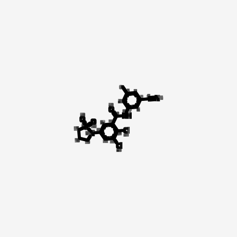 Cc1cc(C#N)cc(NC(=O)c2cc(N3CCCS3(=O)=O)cc(Cl)c2Cl)c1